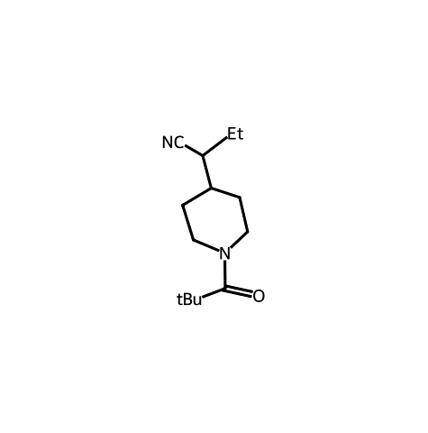 CCC(C#N)C1CCN(C(=O)C(C)(C)C)CC1